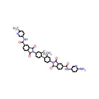 Cc1ccc(NC(=O)c2ccc3c(c2)C(=O)N(c2ccc(-c4ccc(N5C(=O)c6ccc(C(=O)Nc7ccc(N)nc7)cc6C5=O)cc4C)c(C)c2)C3=O)cn1